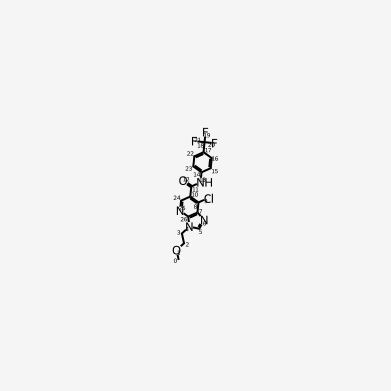 COCCn1cnc2c(Cl)c(C(=O)Nc3ccc(C(F)(F)F)cc3)cnc21